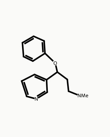 CNCCC(Oc1ccccc1)c1cccnc1